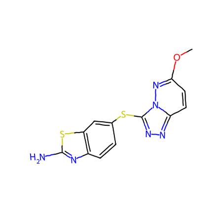 COc1ccc2nnc(Sc3ccc4nc(N)sc4c3)n2n1